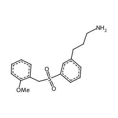 COc1ccccc1CS(=O)(=O)c1cccc(CCCN)c1